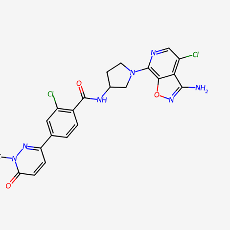 Cn1nc(-c2ccc(C(=O)NC3CCN(c4ncc(Cl)c5c(N)noc45)C3)c(Cl)c2)ccc1=O